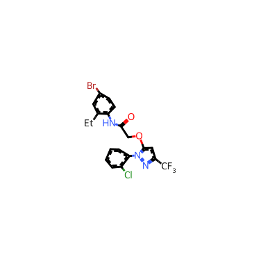 CCc1cc(Br)ccc1NC(=O)COc1cc(C(F)(F)F)nn1-c1ccccc1Cl